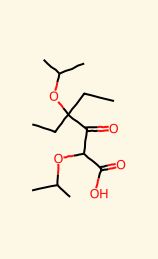 CCC(CC)(OC(C)C)C(=O)C(OC(C)C)C(=O)O